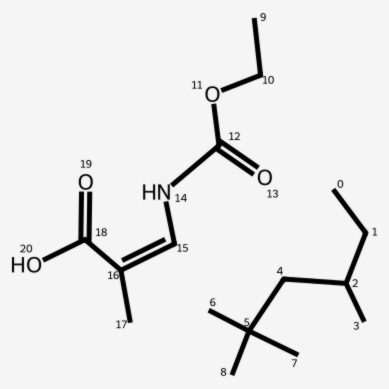 CCC(C)CC(C)(C)C.CCOC(=O)NC=C(C)C(=O)O